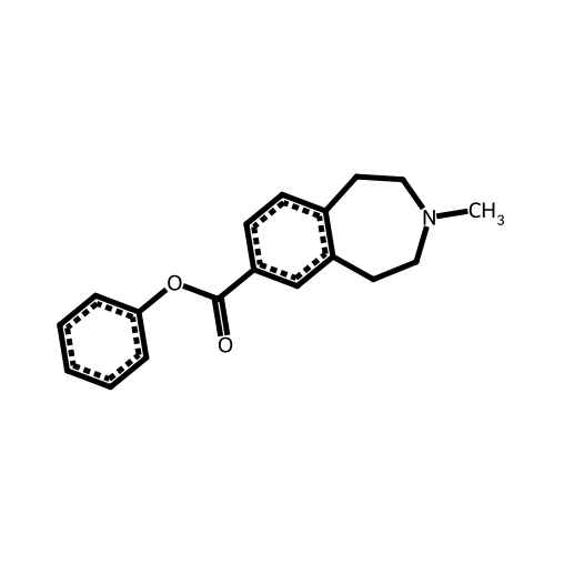 CN1CCc2ccc(C(=O)Oc3ccccc3)cc2CC1